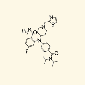 CC(C)N(C(=O)c1ccc(N(c2cc(F)ccc2C(N)=O)C2CCN(Cc3nccs3)CC2)cc1)C(C)C